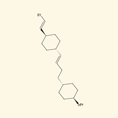 CCC=C[C@H]1CC[C@H](C=CCC[C@H]2CC[C@H](CCC)CC2)CC1